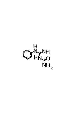 N=C(NC(N)=O)Nc1ccccc1